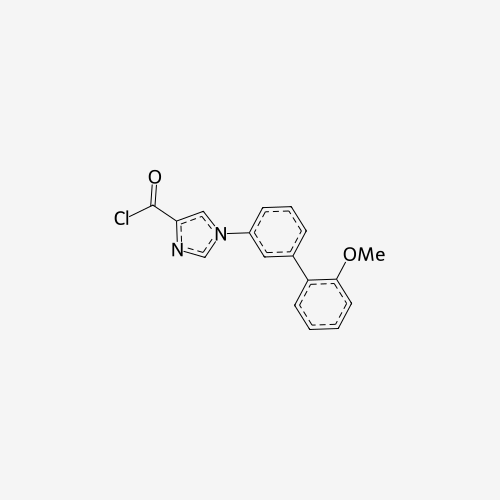 COc1ccccc1-c1cccc(-n2cnc(C(=O)Cl)c2)c1